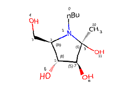 CCCCN1[C@H](CO)[C@@H](O)[C@H](O)[C@]1(C)O